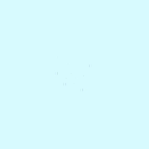 COCC(CC(C)C)(C(=O)OC)C(C)(C)C